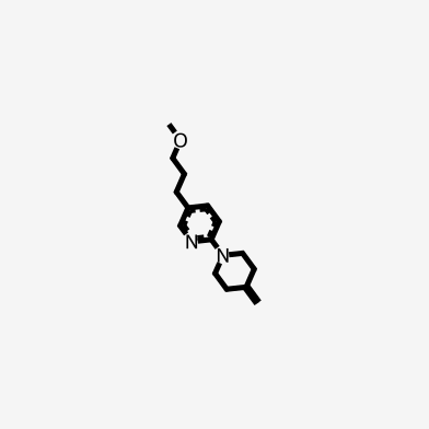 C=C1CCN(c2ccc(CCCOC)cn2)CC1